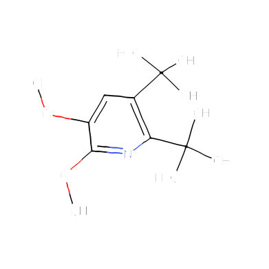 COc1cc(C(C)(C)C)c(C(C)(C)C)nc1OC